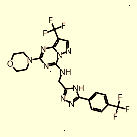 FC(F)(F)c1ccc(-c2nnc(CNc3nc(N4CCOCC4)nc4c(C(F)(F)F)cnn34)[nH]2)cc1